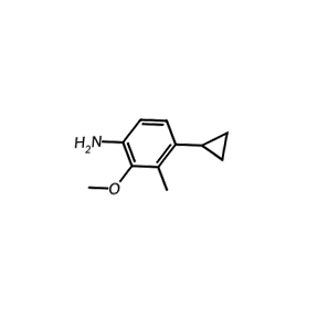 COc1c(N)ccc(C2CC2)c1C